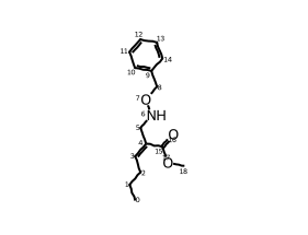 CCCC=C(CNOCc1ccccc1)C(=O)OC